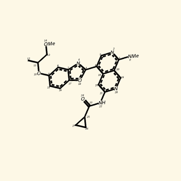 CNc1ncc(-c2nc3cc(OC(C)COC)ccc3o2)c2cc(NC(=O)C3CC3)ncc12